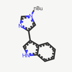 [CH2]CCCn1cnc(-c2c[nH]c3ccccc23)c1